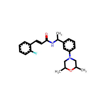 CC1CN(c2cccc(C(C)NC(=O)C=Cc3ccccc3F)c2)CC(C)O1